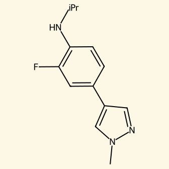 CC(C)Nc1ccc(-c2cnn(C)c2)cc1F